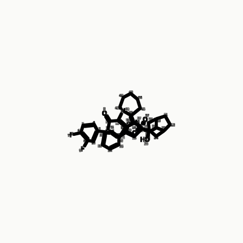 O=C(Nc1ccc(F)c(F)c1)c1c(Cl)c(S(=O)(=O)NC2C3CCC2CC(O)(c2cc(-c4ccccc4)on2)C3)c2n1CCCCC2